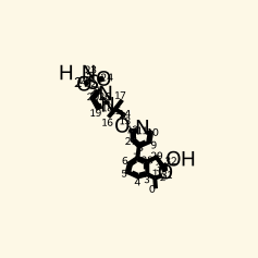 CC(C)c1cccc(-c2ccnc(OCC(C)(C)n3ccc(S(N)(=O)=O)n3)c2)c1CC(=O)O